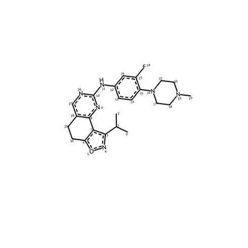 CC(C)c1noc2c1-c1nc(Nc3ccc(N4CCN(C)CC4)c(F)c3)ncc1CC2